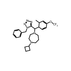 CC1C=C(OC(F)(F)F)C=CC1C(c1nnnn1Cc1ccccc1)N1CCCN(C2CCC2)CC1